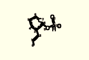 CC=Cc1ccccc1O[SH](=O)=O